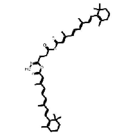 CC1=C(/C=C/C(C)=C/C=C/C(C)=C/C(=O)OC(=O)CC/C(=N/O)OC(=O)/C=C(C)/C=C/C=C(C)/C=C/C2=C(C)CCCC2(C)C)C(C)(C)CCC1